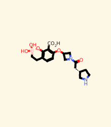 O=C(O)c1c(OC2CN(C(=O)C[C@@H]3CCNC3)C2)ccc2c1O[B-](O)(O)CC2